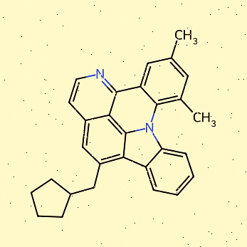 Cc1cc(C)c2c(c1)c1nccc3cc(CC4CCCC4)c4c5ccccc5n2c4c31